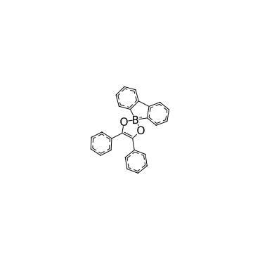 c1ccc(C2=C(c3ccccc3)O[B-]3(O2)c2ccccc2-c2ccccc23)cc1